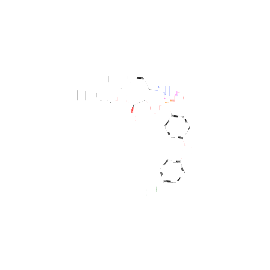 C=CCNP(=O)(OCC(=O)OCC)c1ccc(Oc2ccc(Cl)cc2)cc1